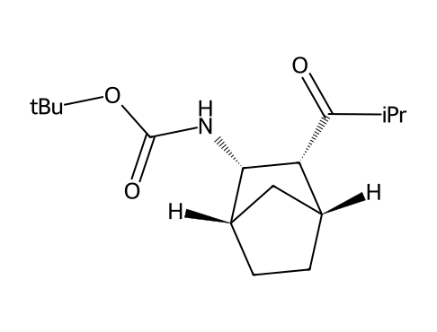 CC(C)C(=O)[C@@H]1[C@@H]2CC[C@@H](C2)[C@@H]1NC(=O)OC(C)(C)C